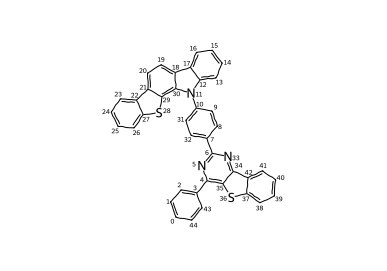 c1ccc(-c2nc(-c3ccc(-n4c5ccccc5c5ccc6c7ccccc7sc6c54)cc3)nc3c2sc2ccccc23)cc1